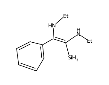 CCNC([SiH3])=C(NCC)c1ccccc1